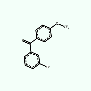 C=C(c1ccc(OC(F)(F)F)cc1)c1cccc(Br)c1